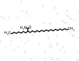 CCCCCCCCCCCCCCCCCCC(CCCCCCCC)C(N)=O